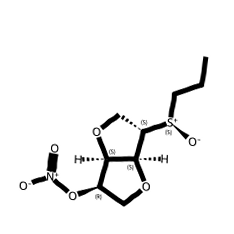 CCC[S@@+]([O-])[C@H]1CO[C@H]2[C@@H]1OC[C@H]2O[N+](=O)[O-]